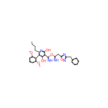 CCCCc1nc(O)c(C(=N)OC(=N)Cc2nc(Cc3ccccc3)no2)c(O)c1-c1c(OC)cccc1OC